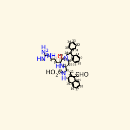 N=C(N)NCCC[C@@H]1N[C@H]([C@H](Cc2ccc3ccccc3c2C=O)NC(=O)O)CCN(CC(c2ccccc2)c2ccccc2)C1=O